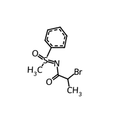 CC(Br)C(=O)N=S(C)(=O)c1ccccc1